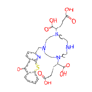 O=C(O)CCC(C(=O)O)N1CCNCCN(C(CCC(=O)O)C(=O)O)CCN(Cc2ccc3c(=O)c4ccccc4sc3n2)CC1